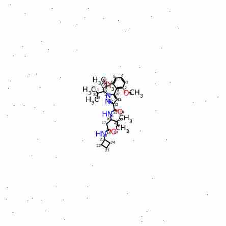 COc1cccc(OC)c1-c1cc(C(=O)NC(CC(=O)NC2CCC2)C(C)C)nn1C(C)C(C)C